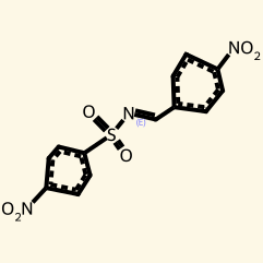 O=[N+]([O-])c1ccc(/C=N/S(=O)(=O)c2ccc([N+](=O)[O-])cc2)cc1